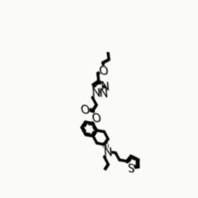 CCCOCc1cn(CCC(=O)Oc2cccc3c2CC[C@H](N(CCC)CCc2cccs2)C3)nn1